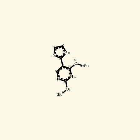 CC(C)(C)Oc1ncc(-c2nc[c]s2)c(OC(C)(C)C)n1